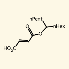 CCCCCCC(CCCCC)OC(=O)C=CC(=O)O